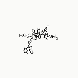 Nc1nc(C(=NOCF)C(=O)NC2C(=O)N3C(C(=O)O)=C(C=CSC4OC(=O)C5=C4C=CCS5)CS[C@@H]23)cs1